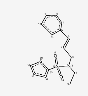 CCN(C/C=C/c1ccccc1)S(=O)(=O)c1cccs1